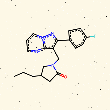 CCCC1CC(=O)N(Cc2c(-c3ccc(F)cc3)nn3cccnc23)C1